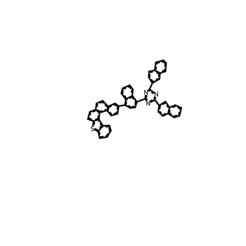 c1ccc2cc(-c3nc(-c4ccc5ccccc5c4)nc(-c4ccc(-c5ccc6c(ccc7ccc8sc9ccccc9c8c76)c5)c5ccccc45)n3)ccc2c1